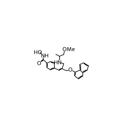 COCC(C)NC/C(=C\c1ccc(C(=O)NO)cc1)COc1cccc2ccccc12